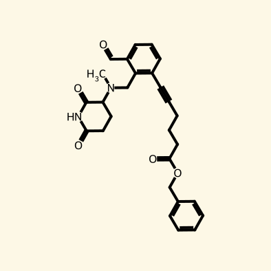 CN(Cc1c(C#CCCCC(=O)OCc2ccccc2)cccc1C=O)C1CCC(=O)NC1=O